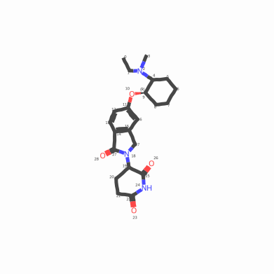 CCN(C)C1CCCC[C@H]1Oc1ccc2c(c1)CN(C1CCC(=O)NC1=O)C2=O